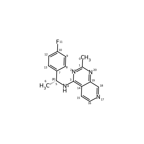 Cc1nc(N[C@H](C)c2ccc(F)cc2)c2ccncc2n1